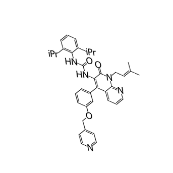 CC(C)=CCn1c(=O)c(NC(=O)Nc2c(C(C)C)cccc2C(C)C)c(-c2cccc(OCc3ccncc3)c2)c2cccnc21